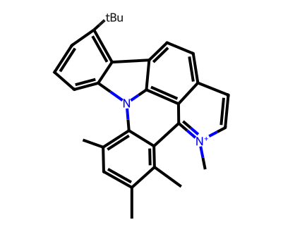 Cc1cc(C)c2c(c1C)c1c3c(ccc4c5c(C(C)(C)C)cccc5n2c43)cc[n+]1C